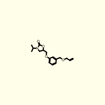 C=CCOCc1cccc(OCC2CN(C(C)C)C(=O)O2)c1